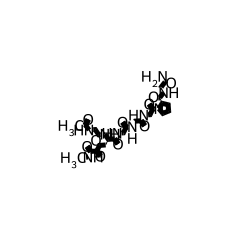 CNC(=O)C(=O)CC[C@H](NC(=O)CNC(C)=O)C(=O)NCC(=O)NCC(=O)NCC(=O)N1CCC[C@H]1C(=O)NCC(N)=O